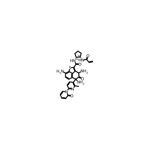 C=CC(=O)N[C@H]1CCC[C@H]1NC(=O)c1sc2c(N)ccc3c2c1C(N)C(=O)C3(N)c1ccc(-n2ccccc2=O)nc1C